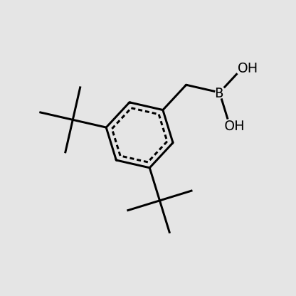 CC(C)(C)c1cc(CB(O)O)cc(C(C)(C)C)c1